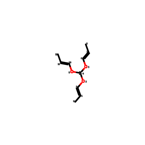 CC=COB(OC=CC)OC=CC